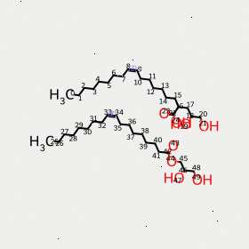 CCCCCCCC/C=C\CCCCCCC(CC(O)CO)C(=O)O.CCCCCCCC/C=C\CCCCCCCC(=O)OCC(O)CO